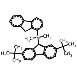 CC(C)(C)c1ccc2c(c1)C([Si](C)(C)c1cccc3c1Cc1ccccc1-3)c1cc(C(C)(C)C)ccc1-2